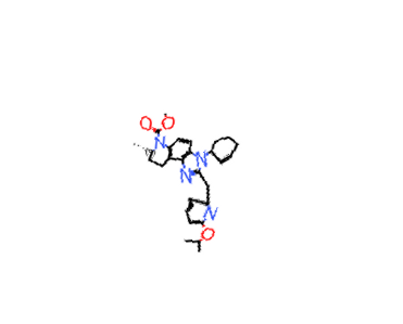 COC(=O)N1c2ccc3c(nc(Cc4cccc(OC(C)C)n4)n3C3CCCCC3)c2CC[C@@H]1C